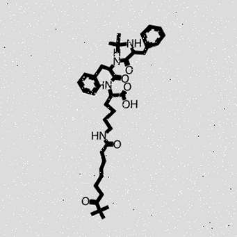 CC(C)(C)NC(Cc1ccccc1)C(=O)NC(Cc1ccccc1)C(=O)NC(CCCCNC(=O)CCCCCCC(=O)C(C)(C)C)C(=O)O